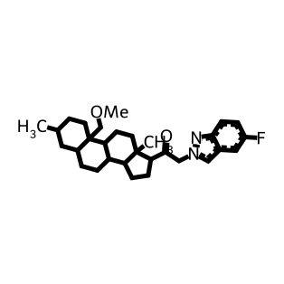 COCC12CCC(C)CC1CCC1C3CCC(C(=O)Cn4cc5cc(F)ccc5n4)C3(C)CCC12